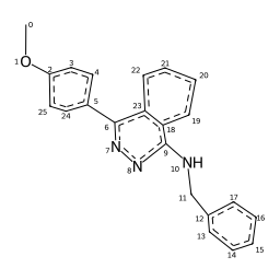 COc1ccc(-c2nnc(NCc3ccccc3)c3ccccc23)cc1